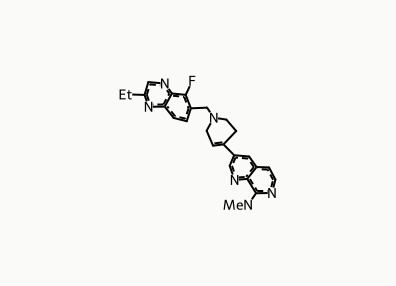 CCc1cnc2c(F)c(CN3CC=C(c4cnc5c(NC)nccc5c4)CC3)ccc2n1